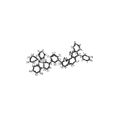 c1ccc(-c2c3ccccc3nc3c2ccc2ccc(-c4cccc(-c5ccc6c(c5)C(c5ccccc5)(c5ccccc5)c5ccccc5-6)c4)nc23)cc1